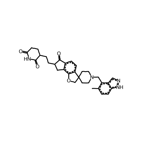 Cc1ccc2[nH]ncc2c1CN1CCC2(CC1)COc1c2ccc2c1CC(CCC1CCC(=O)NC1=O)C2=O